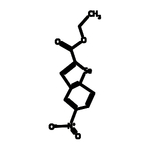 CCOC(=O)c1cc2cc([N+](=O)[O-])ccc2[se]1